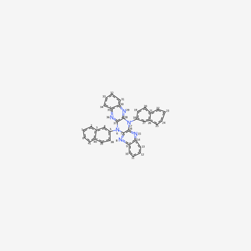 c1ccc2cc(N3c4nc5ccccc5nc4N(c4ccc5ccccc5c4)c4nc5ccccc5nc43)ccc2c1